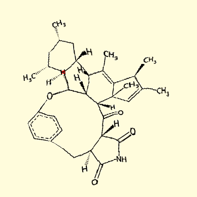 CC1=CC2(C)C(=C(C)[C@H]3[C@H]4C[C@@H](C)C[C@@H](C)[C@@H]4[C@@H]4Oc5ccc(cc5)C[C@@H]5C(=O)NC(=O)[C@H]5C(=O)[C@@H]2[C@H]43)[C@H]1C